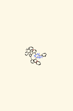 CC1(C)c2ccccc2C2(c3ccc(-c4cccc(-c5ccccc5)c4)cc3-c3c(C4=N[C@H](C5C=CCCC5)NC(c5ccccc5)=N4)cccc32)c2ccccc21